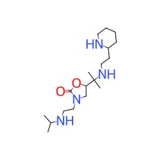 CC(C)NCCN1CC(C(C)(C)NCCC2CCCCN2)OC1=O